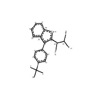 CC(C)(C)c1ccc(-c2c(C(F)C(F)F)oc3ccccc23)cc1